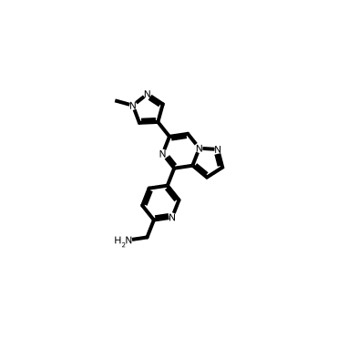 Cn1cc(-c2cn3nccc3c(-c3ccc(CN)nc3)n2)cn1